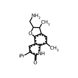 Cc1cc2c(c3cc(C(C)C)c(=O)[nH]c13)OC(CN)C2C